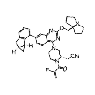 C=C(F)C(=O)N1CCN(c2nc(OCC34CCCN3CCC4)nc3cc(-c4cccc5c4[C@H]4C[C@H]4C5)ccc23)C[C@@H]1CC#N